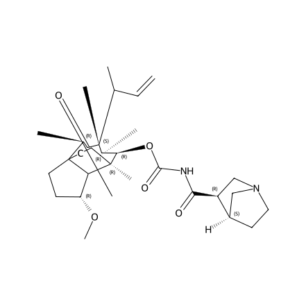 C=CC(C)[C@]1(C)C[C@@H](OC(=O)NC(=O)[C@H]2CN3CC[C@@H]2C3)[C@@]2(C)C3[C@H](OC)CCC3(CC[C@H]2C)[C@@H](C)C1=O